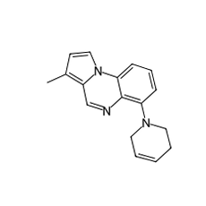 Cc1ccn2c1cnc1c(N3CC=CCC3)cccc12